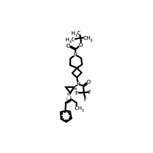 CC/C(=C\c1ccccc1)[C@@H]1C[C@H]1N(C(=O)C(F)(F)F)C1CC2(CCN(C(=O)OC(C)(C)C)CC2)C1